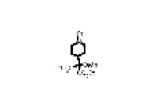 CCOC(=O)C(OC)(C(=O)OCC)C1CCN(C(C)C)CC1